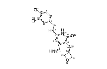 N=Cc1nc(NCc2ccc(Cl)c(Cl)c2)[nH]c(=O)c1NC1COC1